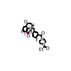 CCC(=O)N1CCN(C(=O)c2cc(C[N+]3(OC(=O)C(F)(F)F)N=CC(=O)c4ccccc43)ccc2F)CC1